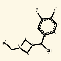 C[C](C)CN1CC(C(O)c2ccc(F)c(F)c2)C1